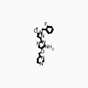 COc1cc(-c2ncc(OCc3ccncn3)c(N)n2)nn1Cc1ccccc1F